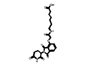 O=C(O)CCCCCCNC(=O)COc1cccc2c1C(=O)N(C1CCC(=O)NC1=O)C2=O